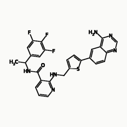 CC(NC(=O)c1cccnc1NCc1ccc(-c2ccc3ncnc(N)c3c2)s1)c1cc(F)c(F)c(F)c1